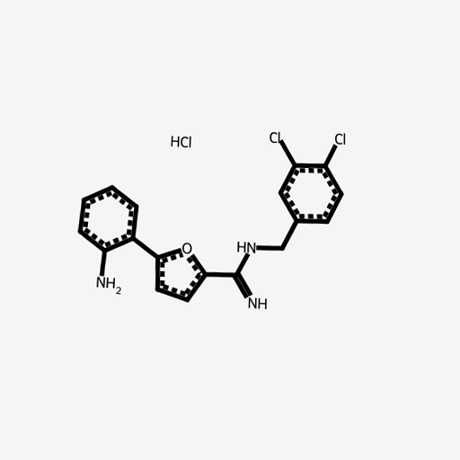 Cl.N=C(NCc1ccc(Cl)c(Cl)c1)c1ccc(-c2ccccc2N)o1